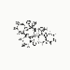 COc1cc2ccccc2c(O)c1C1NS(=O)(=O)c2ccccc2-c2ccccc21